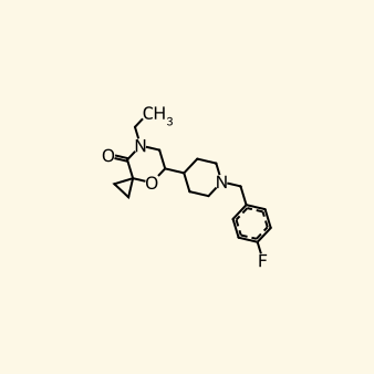 CCN1CC(C2CCN(Cc3ccc(F)cc3)CC2)OC2(CC2)C1=O